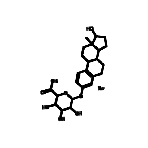 CC12CCC3c4ccc(OC5OC(C(=O)O)C(O)C(O)C5O)cc4CCC3C1CCC2O.[Na]